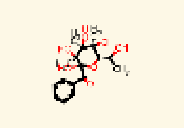 CC(O)[C@H]1O[C@](O)(C(=O)c2ccccc2)[C@](C)(O)[C@@](C)(O)[C@@]1(C)O